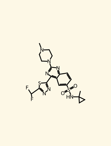 CN1CCN(c2nc(-c3nnc(C(F)F)s3)c3cc(S(=O)(=O)NC4(C)CC4)ccc3n2)CC1